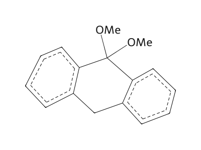 COC1(OC)c2ccccc2Cc2ccccc21